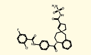 NS(=O)(=O)NC(=O)C1=C[C@@]2(CC1)CCN(C(=O)c1ccc(NC(=O)c3cc(F)ccc3Cl)cc1)c1ccccc1C2